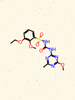 CCOc1cccc(S(=O)(=O)NC(=O)Nc2nc(C)nc(OC)n2)c1OC